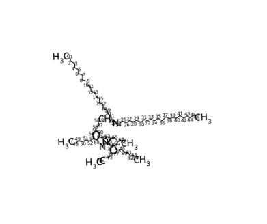 CCCCCCCCCCCCCCCCCCCCCC[CH2][Ni][CH2]CCCCCCCCCCCCCCCCCCCCCC.CCCCCCc1cc(CCCC)cc(C2=CC(CCCC)=C(c3cc(CCCC)cc(CCCCCC)c3)[N+]2=[N-])c1